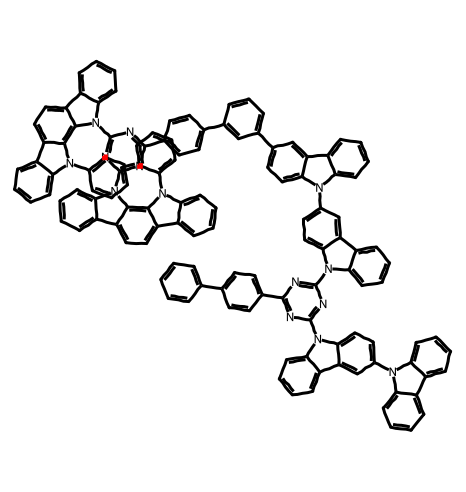 c1ccc(-c2ccc(-c3nc(-n4c5ccccc5c5cc(-n6c7ccccc7c7ccccc76)ccc54)nc(-n4c5ccccc5c5cc(-n6c7ccccc7c7cc(-c8cccc(-c9ccc(-c%10nc(-n%11c%12ccccc%12c%12ccc%13c%14ccccc%14n(-c%14ccccc%14)c%13c%12%11)nc(-n%11c%12ccccc%12c%12ccc%13c%14ccccc%14n(-c%14ccccc%14)c%13c%12%11)n%10)cc9)c8)ccc76)ccc54)n3)cc2)cc1